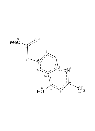 COC(=O)Cc1ccc2nc(C(F)(F)F)cc(O)c2c1